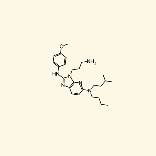 CCCCN(CCC(C)C)c1ccc2nc(Nc3ccc(OC)cc3)n(CCCN)c2n1